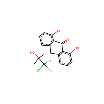 CC(C)(O)C(Cl)(Cl)Cl.O=C1c2c(O)cccc2Cc2cccc(O)c21